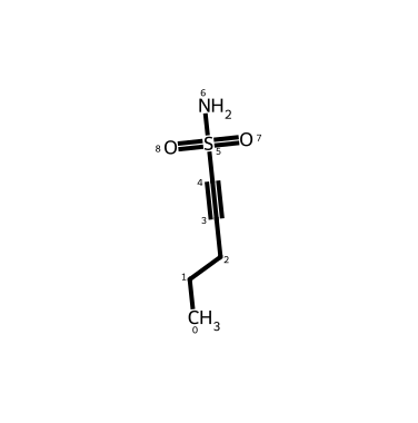 CCCC#CS(N)(=O)=O